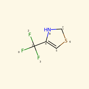 FC(F)(F)C1=CS[C]N1